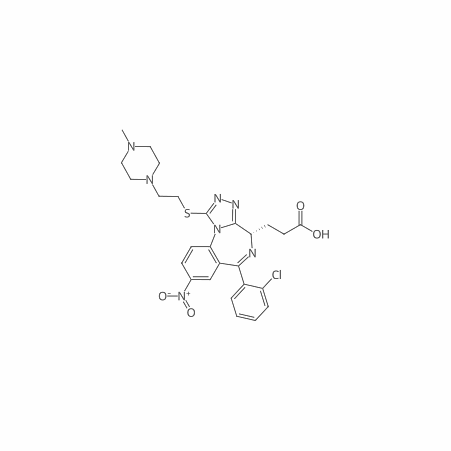 CN1CCN(CCSc2nnc3n2-c2ccc([N+](=O)[O-])cc2C(c2ccccc2Cl)=N[C@H]3CCC(=O)O)CC1